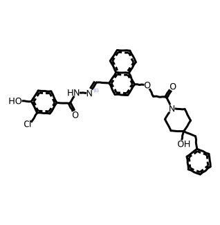 O=C(N/N=C/c1ccc(OCC(=O)N2CCC(O)(Cc3ccccc3)CC2)c2ccccc12)c1ccc(O)c(Cl)c1